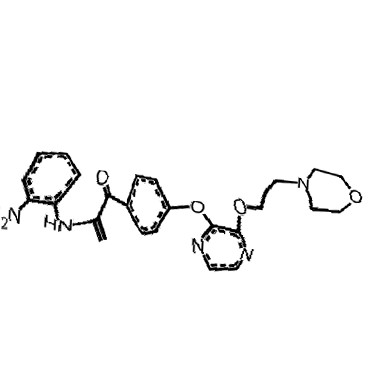 C=C(Nc1ccccc1N)C(=O)c1ccc(Oc2nccnc2OCCN2CCOCC2)cc1